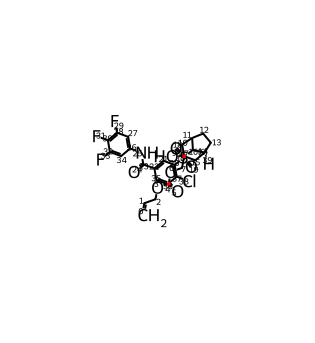 C=CCOC(=O)OC[C@]1(O)CC2CC[C@@H](C1)C2S(=O)(=O)c1cc(C(=O)Nc2cc(F)c(F)c(F)c2)ccc1Cl